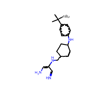 CCCCC(C)(C)c1ccc(NC2CCC(CN/C(C=N)=C/N)CC2)cc1